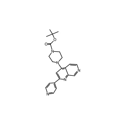 CC(C)(C)OC(=O)N1CCN(c2cc(-c3ccncc3)nc3cnccc23)CC1